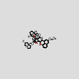 COCOc1cc(-c2nc3c4c(nc(OC[C@@]56CCCN5C[C@H](F)C6)nc4c2F)N2C[C@H]4CC[C@@H]([C@@H]2CO3)N4C(=O)OC(C)(C)C)c2c(F)cccc2c1